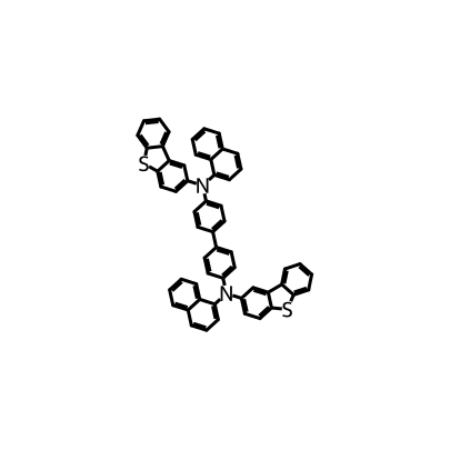 c1ccc2c(N(c3ccc(-c4ccc(N(c5ccc6sc7ccccc7c6c5)c5cccc6ccccc56)cc4)cc3)c3ccc4sc5ccccc5c4c3)cccc2c1